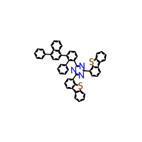 c1ccc(-c2c(-c3nc(-c4cccc5c4sc4ccccc45)nc(-c4cccc5c4sc4ccccc45)n3)cccc2-c2ccc(-c3ccccc3)c3ccccc23)cc1